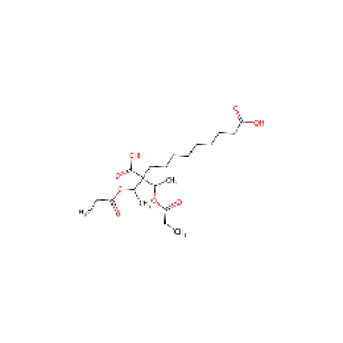 CCC(=O)OC(C)C(CCCCCCCCC(=O)O)(C(=O)O)C(C)OC(=O)CC